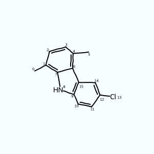 Cc1ccc(C)c2c1[nH]c1ccc(Cl)cc12